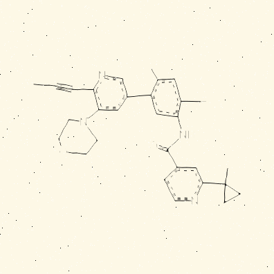 CC#Cc1ncc(-c2cc(NC(=O)c3ccnc(C4(C)CC4)c3)c(F)cc2C)cc1N1CCOCC1